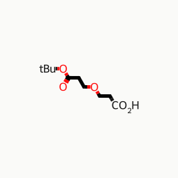 CC(C)(C)OC(=O)CCOCCC(=O)O